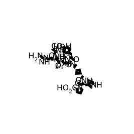 CC(C)[C@H](NC(=O)[C@H](CCCNC(=N)N)NC(=O)[C@@H](N)CC(=O)O)C(=O)N[C@@H](Cc1ccc(O)cc1)C(=O)NCC[C@H]1C[C@@H](CC(=O)N[C@@H](Cc2c[nH]cn2)C(=O)N2CCC[C@H]2C(=O)O)C1